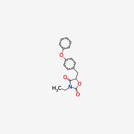 CCN1C(=O)OC(Cc2ccc(Oc3ccccc3)cc2)C1=O